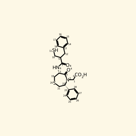 O=C(O)CN1C(=O)[C@@H](NC(=O)C(CS)Cc2ccccc2)CSC[C@H]1c1ccccc1